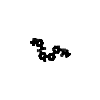 Cc1ccc(NC(=O)c2ccnc(C(C)(C)C#N)c2)cc1-c1cccc(-c2cc(NC(=O)C3(C)CC3)ncn2)c1